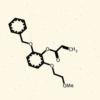 C=CC(=O)Oc1c(OCCOC)cccc1OCc1ccccc1